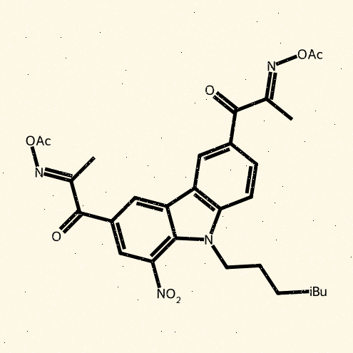 CCC(C)CCCn1c2ccc(C(=O)/C(C)=N/OC(C)=O)cc2c2cc(C(=O)/C(C)=N/OC(C)=O)cc([N+](=O)[O-])c21